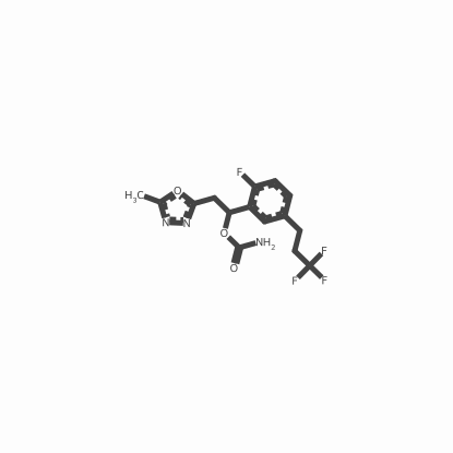 Cc1nnc(CC(OC(N)=O)c2cc(CCC(F)(F)F)ccc2F)o1